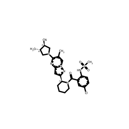 Cc1cn2nc([C@@H]3CCCCN3C(=O)c3cc(Cl)ccc3NS(C)(=O)=O)cc2nc1N1C[C@H](C)[C@@H](C#N)C1